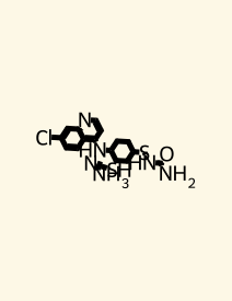 N.N#CS.NC(=O)NSC1CCC(Nc2ccnc3cc(Cl)ccc23)CC1